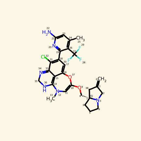 C=C1CN2CCC[C@@]2(COC2=CN(C)C3=c4c(cc(-c5nc(N)cc(C)c5C(F)(F)F)c(Cl)c4=NCN3)O2)C1